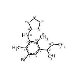 COC(O)c1cc(Br)c(C)c(NC2CCCC2)c1C